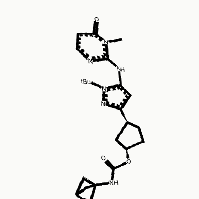 Cn1c(Nc2cc([C@H]3CC[C@@H](OC(=O)NC45CC(C4)C5)C3)nn2C(C)(C)C)nccc1=O